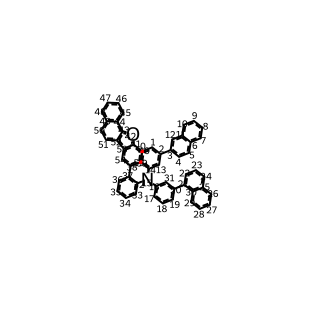 c1cc(-c2ccc3ccccc3c2)cc(N(c2cccc(-c3cccc4ccccc34)c2)c2ccccc2-c2ccc3oc4c5ccccc5ccc4c3c2)c1